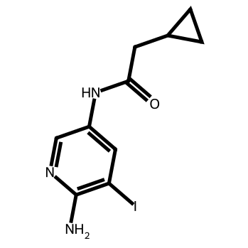 Nc1ncc(NC(=O)CC2CC2)cc1I